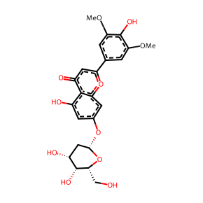 COc1cc(-c2cc(=O)c3c(O)cc(O[C@H]4C[C@@H](O)[C@@H](O)[C@@H](CO)O4)cc3o2)cc(OC)c1O